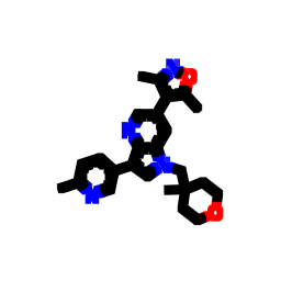 Cc1ccc(-c2cn(CC3(C)CCOCC3)c3cc(-c4c(C)noc4C)cnc23)cn1